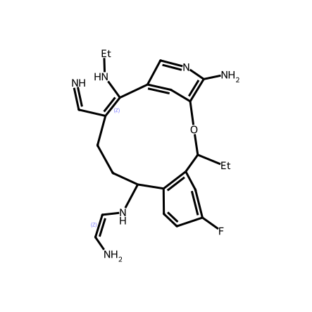 CCN/C1=C(\C=N)CCC(N/C=C\N)c2ccc(F)cc2C(CC)Oc2cc1cnc2N